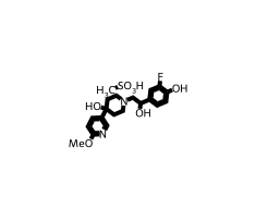 COc1ccc(C2(O)CCN(CC(O)c3ccc(O)c(F)c3)CC2)cn1.CS(=O)(=O)O